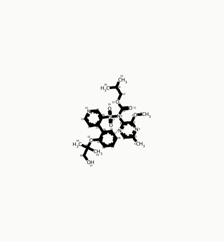 COc1nc(C)cnc1N(C(=O)OCC(C)C)S(=O)(=O)c1cnccc1-c1ccccc1OC(C)(C)CO